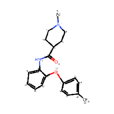 CC(=O)N1CCC(C(=O)Nc2ccccc2Oc2ccc(C(F)(F)F)cc2)CC1